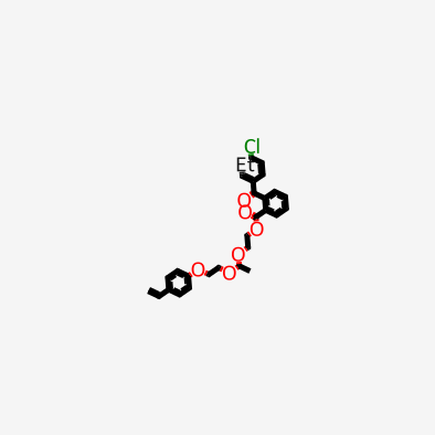 C=Cc1ccc(OCCOC(C)OCCOC(=O)c2ccccc2C(=O)C(/C=C\CCl)=C/CC)cc1